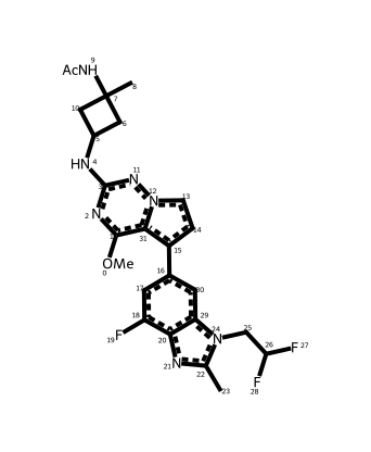 COc1nc(NC2CC(C)(NC(C)=O)C2)nn2ccc(-c3cc(F)c4nc(C)n(CC(F)F)c4c3)c12